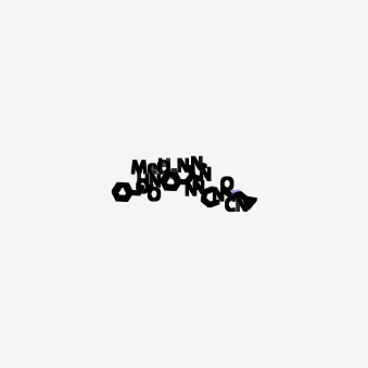 COc1cc(-c2nn(C3CCCN(C(=O)/C(C#N)=C/C4CC4)C3)c3ncnc(N)c23)ccc1NC(=O)OCc1ccccc1